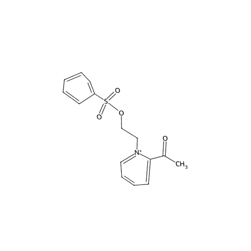 CC(=O)c1cccc[n+]1CCOS(=O)(=O)c1ccccc1